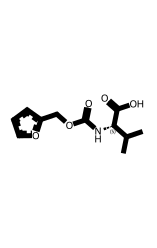 CC(C)[C@H](NC(=O)OCc1ccco1)C(=O)O